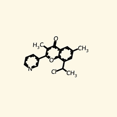 Cc1cc(C(C)Cl)c2oc(-c3cccnc3)c(C)c(=O)c2c1